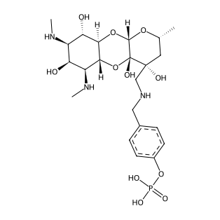 CN[C@@H]1[C@H](O)[C@H](NC)[C@H]2O[C@]3(O)[C@H](O[C@@H]2[C@H]1O)O[C@H](C)C[C@@]3(O)CNCc1ccc(OP(=O)(O)O)cc1